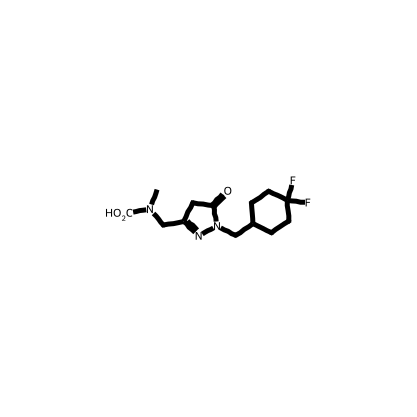 CN(CC1=NN(CC2CCC(F)(F)CC2)C(=O)C1)C(=O)O